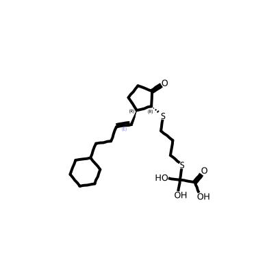 O=C1CC[C@H](/C=C/CCC2CCCCC2)[C@H]1SCCCSC(O)(O)C(=O)O